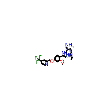 C/C=C(Cl)/C=C\C(=C/N)c1nc(-c2ccc(OCc3cc(C(F)(F)F)ccn3)cc2OC)c[nH]1